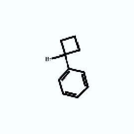 BrC1(c2ccccc2)CCC1